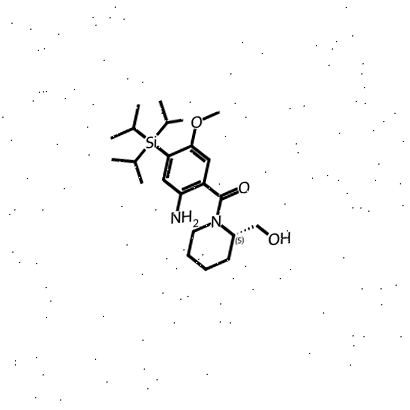 COc1cc(C(=O)N2CCCC[C@H]2CO)c(N)cc1[Si](C(C)C)(C(C)C)C(C)C